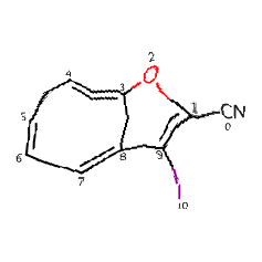 N#Cc1oc2ccccc2c1I